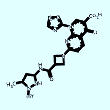 CCCN1NC(NC(=O)C2CN(c3ccc4c(=O)c(C(=O)O)cn(-c5ncns5)c4n3)C2)CC1C